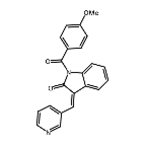 COc1ccc(C(=O)N2C(=O)C(=Cc3cccnc3)c3ccccc32)cc1